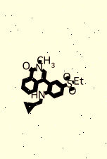 CCS(=O)(=O)c1ccc(NCC2CC2)c(-c2cn(C)c(=O)c3ccccc23)c1